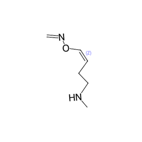 C=NO/C=C\CCNC